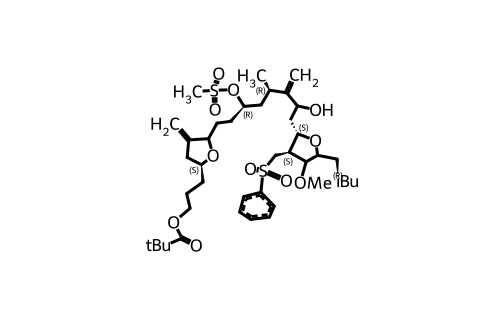 C=C1C[C@H](CCCOC(=O)C(C)(C)C)OC1CC[C@H](C[C@@H](C)C(=C)C(O)C[C@@H]1OC(C[C@H](C)CC)C(OC)[C@H]1CS(=O)(=O)c1ccccc1)OS(C)(=O)=O